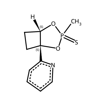 CP1(=S)O[C@H]2CC[C@@]2(c2ccccn2)O1